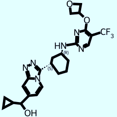 OC(c1ccn2c([C@H]3CCC[C@@H](Nc4ncc(C(F)(F)F)c(OC5COC5)n4)C3)nnc2c1)C1CC1